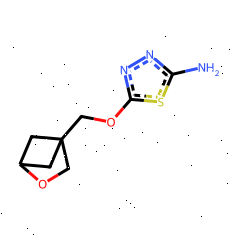 Nc1nnc(OCC23COC(C2)C3)s1